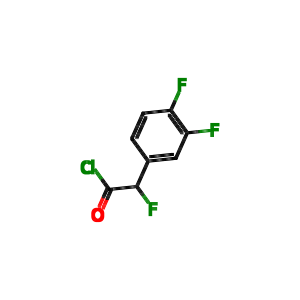 O=C(Cl)C(F)c1ccc(F)c(F)c1